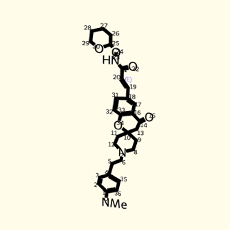 CNc1ccc(CCN2CCC3(CC2)CC(=O)c2cc(/C=C/C(=O)NOC4CCCCO4)ccc2O3)cc1